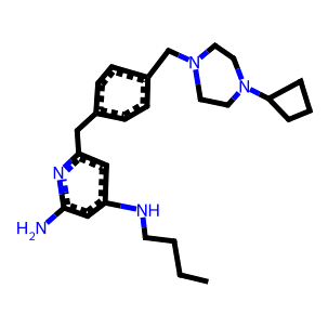 CCCCNc1cc(N)nc(Cc2ccc(CN3CCN(C4CCC4)CC3)cc2)c1